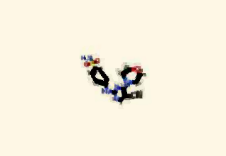 N#Cc1cnc(Nc2ccc(S(N)(=O)=O)cc2)nc1N1CCOCC1